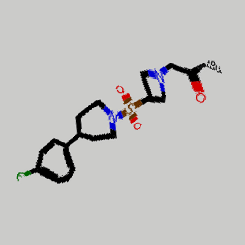 CC(C)(C)C(=O)CN1CC(S(=O)(=O)N2CCC(c3ccc(F)cc3)CC2)C1